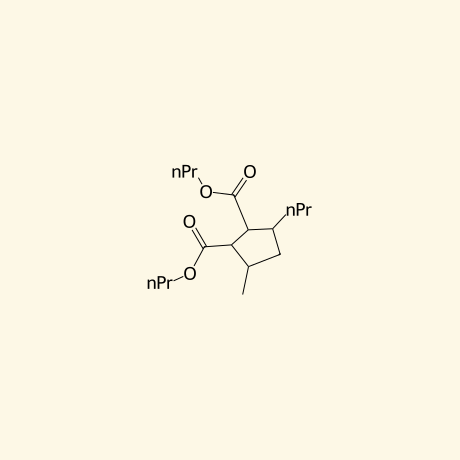 CCCOC(=O)C1C(C)CC(CCC)C1C(=O)OCCC